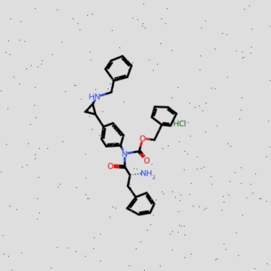 Cl.N[C@H](Cc1ccccc1)C(=O)N(C(=O)OCc1ccccc1)c1ccc(C2CC2NCc2ccccc2)cc1